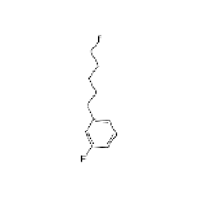 FCCCCCc1cccc(F)c1